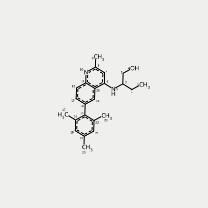 CCC(CO)Nc1cc(C)nc2ccc(-c3c(C)cc(C)cc3C)cc12